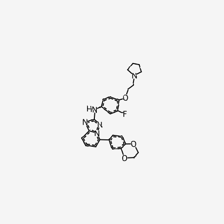 Fc1cc(Nc2nc3cccc(-c4ccc5c(c4)OCCO5)n3n2)ccc1OCCN1CCCC1